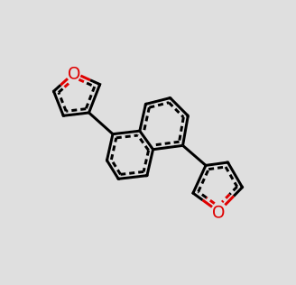 c1cc(-c2ccoc2)c2cccc(-c3ccoc3)c2c1